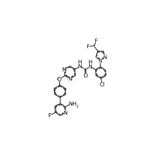 Nc1ncc(F)cc1-c1ccc(Oc2ncc(NC(=O)Nc3cc(Cl)ccc3-n3cc(C(F)F)cn3)cn2)cc1